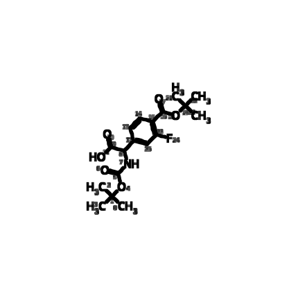 CC(C)(C)OC(=O)NC(C(=O)O)c1ccc(C(=O)OC(C)(C)C)c(F)c1